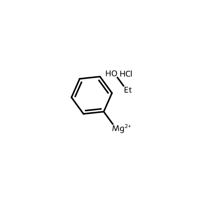 CCO.Cl.[Mg+2][c]1ccccc1